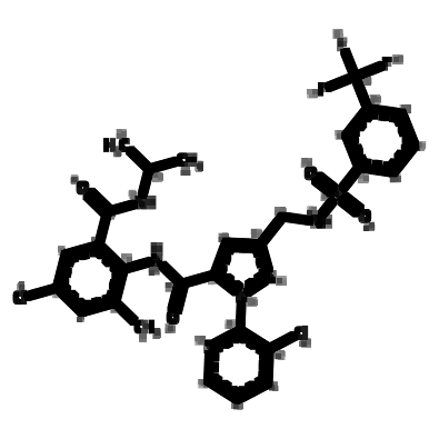 Cc1cc(Cl)cc(C(=O)NC(C)C)c1NC(=O)c1cc(CNS(=O)(=O)c2cccc(C(F)(F)F)c2)nn1-c1ncccc1Cl